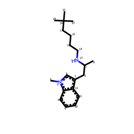 CC(Cc1cn(C)c2ccccc12)NCCCCC(C)(C)C